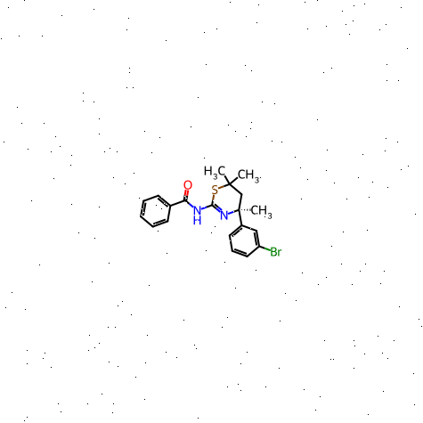 CC1(C)C[C@@](C)(c2cccc(Br)c2)N=C(NC(=O)c2ccccc2)S1